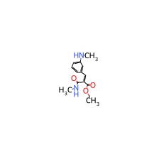 CCOC(=O)/C(=C/c1cccc(NC)c1)C(=O)NC